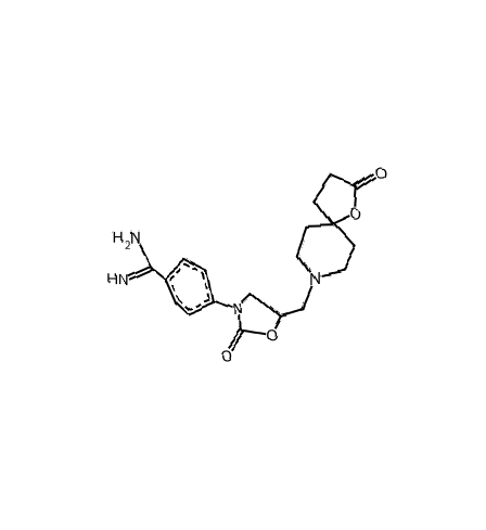 N=C(N)c1ccc(N2CC(CN3CCC4(CCC(=O)O4)CC3)OC2=O)cc1